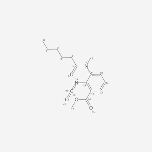 CCCCCC(=O)N(C)c1cccc(C(=O)OC)c1N=C=O